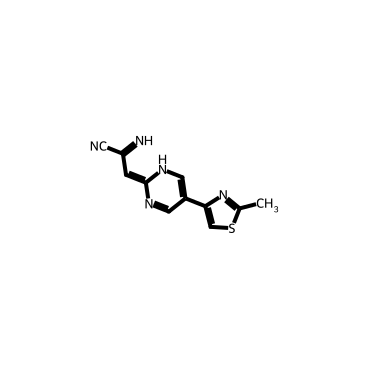 Cc1nc(C2=CN/C(=C\C(=N)C#N)N=C2)cs1